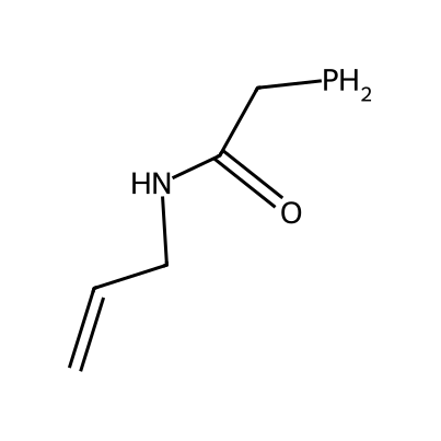 C=CCNC(=O)CP